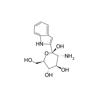 N[C@@H]1[C@@H](O)[C@H](O)[C@@H](CO)O[C@]1(O)c1cc2ccccc2[nH]1